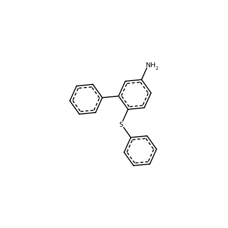 Nc1ccc(Sc2ccccc2)c(-c2ccccc2)c1